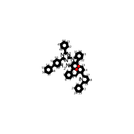 Nc1c(-c2ccccc2Cc2ccccc2-c2cccc(-c3ccccc3)n2)ccc2c3ccccc3n(-c3nc(-c4ccccc4)nc(-c4ccc(-c5ccccc5)cc4)n3)c12